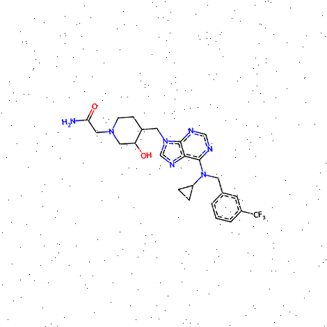 NC(=O)CN1CCC(Cn2cnc3c(N(Cc4cccc(C(F)(F)F)c4)C4CC4)ncnc32)C(O)C1